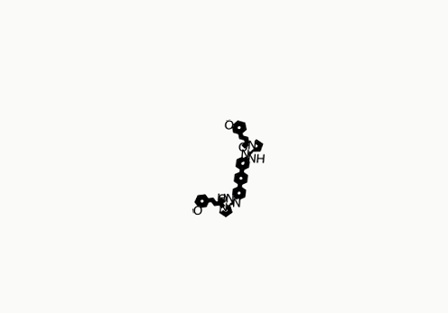 COc1cccc(CCC(=O)N2CCC[C@H]2c2nc3ccc(-c4ccc(-c5ccc6nc([C@@H]7CCCN7C(=O)CCc7cccc(OC)c7)[nH]c6c5)cc4)cc3[nH]2)c1